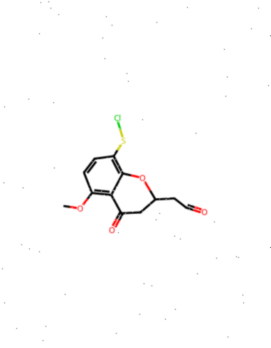 COc1ccc(SCl)c2c1C(=O)CC(CC=O)O2